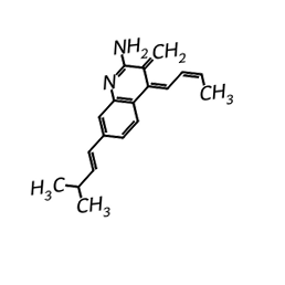 C=c1c(N)nc2cc(/C=C/C(C)C)ccc2/c1=C/C=C\C